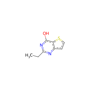 CCc1nc(O)c2sccc2n1